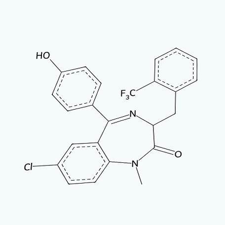 CN1C(=O)C(Cc2ccccc2C(F)(F)F)N=C(c2ccc(O)cc2)c2cc(Cl)ccc21